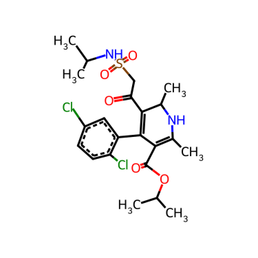 CC1=C(C(=O)OC(C)C)C(c2cc(Cl)ccc2Cl)=C(C(=O)CS(=O)(=O)NC(C)C)C(C)N1